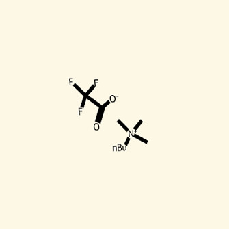 CCCC[N+](C)(C)C.O=C([O-])C(F)(F)F